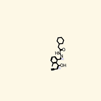 C#C/C=C(/O)c1c(C)cccc1/C=N\NC(=O)CC1CCCCC1